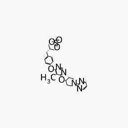 Cc1c(Oc2ccc(C[C@H]3CO[S@](=O)OC3)cc2)ncnc1OC1CCN(c2ncccn2)CC1